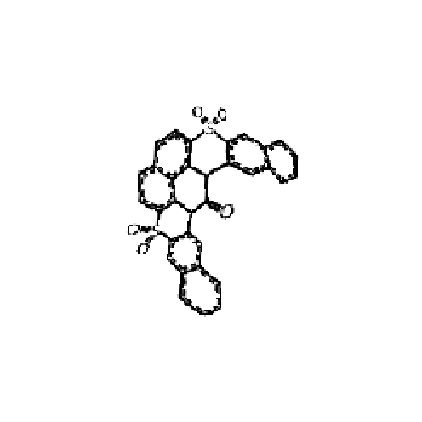 O=C1C2c3cc4ccccc4cc3S(=O)(=O)c3ccc4ccc5c(c4c32)C1c1cc2ccccc2cc1S5(=O)=O